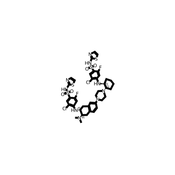 CN(C)[C@@H]1Cc2ccc(N3CCN([C@H]4CCCC[C@@H]4Nc4cc(F)c(S(=O)(=O)Nc5nccs5)cc4Cl)CC3)cc2C[C@H]1Nc1cc(F)c(S(=O)(=O)Nc2nccs2)cc1Cl